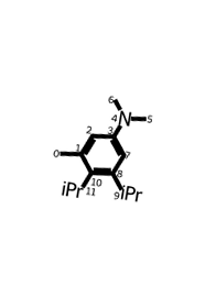 Cc1cc(N(C)C)cc(C(C)C)c1C(C)C